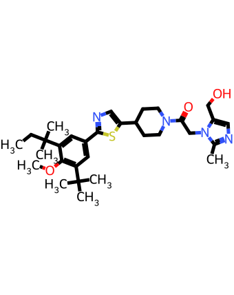 CCC(C)(C)c1cc(-c2ncc(C3CCN(C(=O)Cn4c(CO)cnc4C)CC3)s2)cc(C(C)(C)C)c1OC